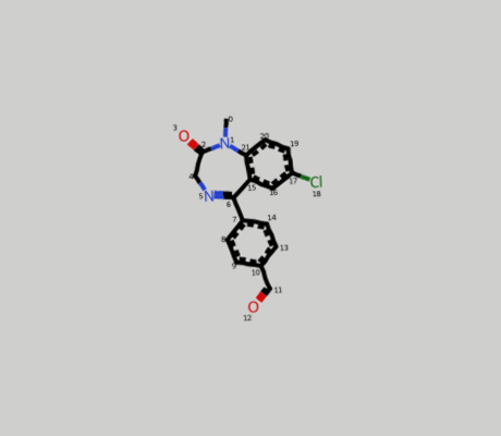 CN1C(=O)CN=C(c2ccc(C=O)cc2)c2cc(Cl)ccc21